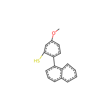 COc1ccc(-c2cccc3ccccc23)c(S)c1